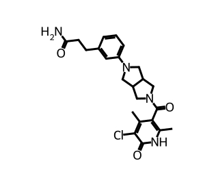 Cc1[nH]c(=O)c(Cl)c(C)c1C(=O)N1CC2CN(c3cccc(CCC(N)=O)c3)CC2C1